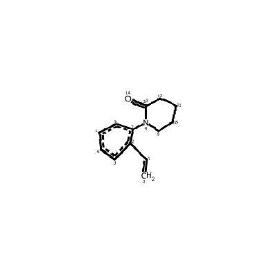 C=Cc1ccccc1N1CCCCC1=O